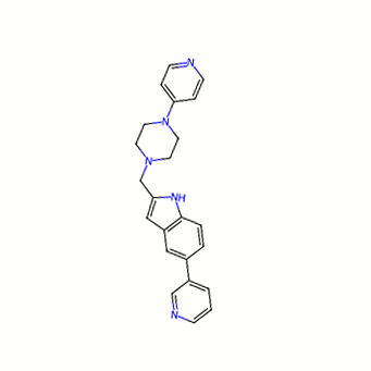 c1cncc(-c2ccc3[nH]c(CN4CCN(c5ccncc5)CC4)cc3c2)c1